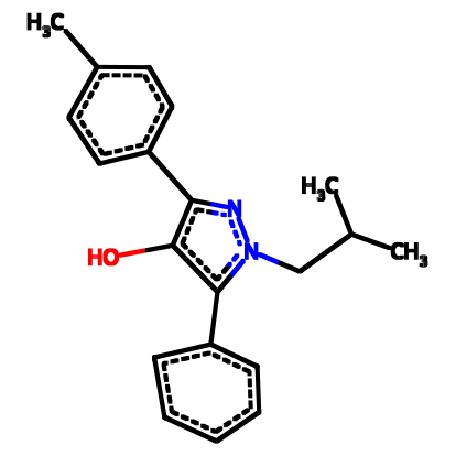 Cc1ccc(-c2nn(CC(C)C)c(-c3ccccc3)c2O)cc1